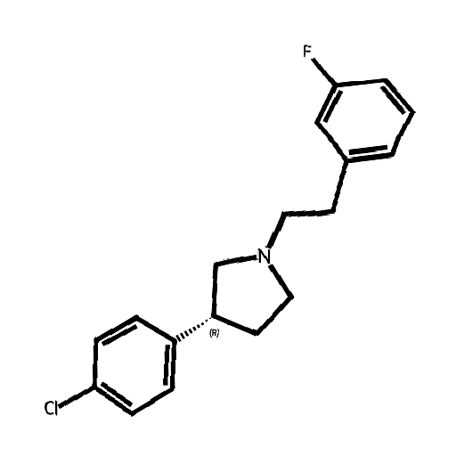 Fc1cccc(CCN2CC[C@H](c3ccc(Cl)cc3)C2)c1